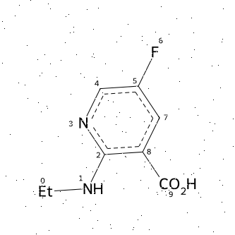 CCNc1ncc(F)cc1C(=O)O